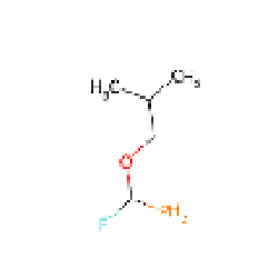 CC(C)COC(F)P